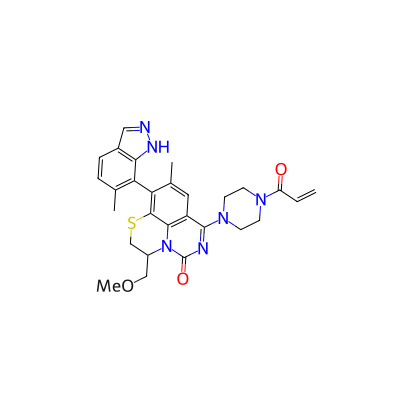 C=CC(=O)N1CCN(c2nc(=O)n3c4c(c(-c5c(C)ccc6cn[nH]c56)c(C)cc24)SCC3COC)CC1